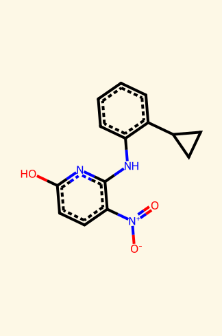 O=[N+]([O-])c1ccc(O)nc1Nc1ccccc1C1CC1